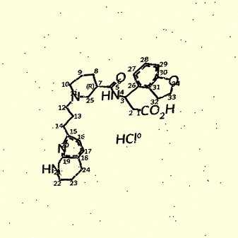 Cl.O=C(O)CC(NC(=O)[C@@H]1CCCN(CCCc2ccc3c(n2)NCCC3)C1)c1cccc2c1CCO2